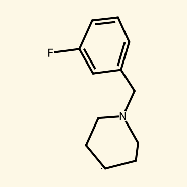 Fc1cccc(CN2CC[CH]CC2)c1